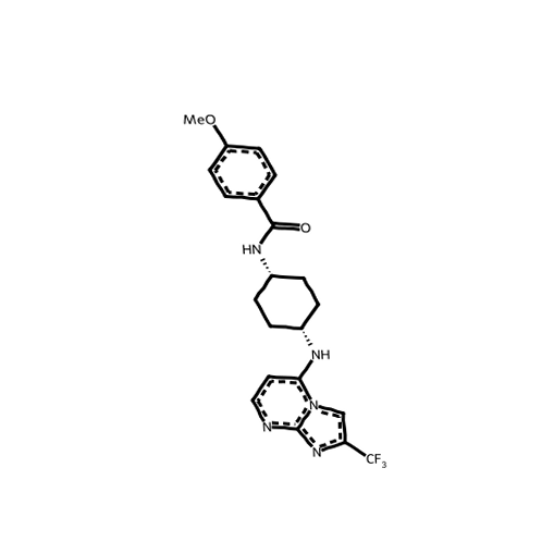 COc1ccc(C(=O)N[C@H]2CC[C@@H](Nc3ccnc4nc(C(F)(F)F)cn34)CC2)cc1